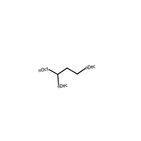 CCCCCCCCCCCCC(CCCCCCCC)CCCCCCCCCC